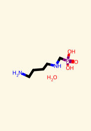 NCCCCNCP(=O)(O)O.O